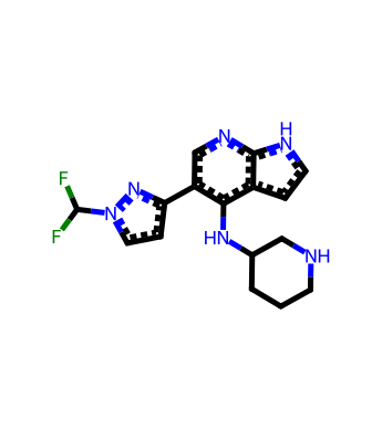 FC(F)n1ccc(-c2cnc3[nH]ccc3c2NC2CCCNC2)n1